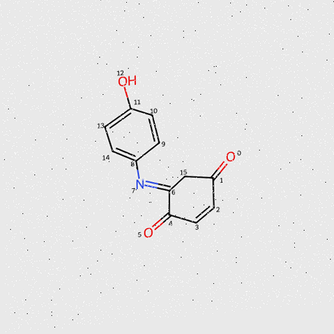 O=C1C=CC(=O)C(=Nc2ccc(O)cc2)C1